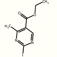 CCOC(=O)c1cnc(I)nc1C